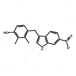 Cc1c(O)ccc(Cc2c[nH]c3cc([N+](=O)[O-])ccc23)c1C